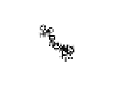 Cc1ccsc1C(=O)Nc1cn2nc(Oc3cccc(NC(=O)C4CCCCC4)c3)ccc2n1